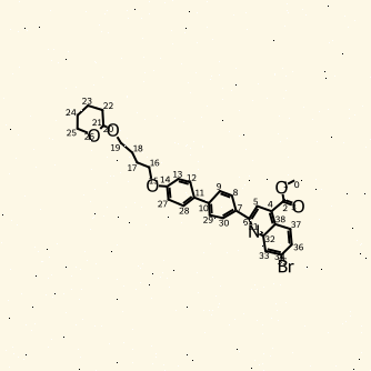 COC(=O)c1cc(-c2ccc(-c3ccc(OCCCCOC4CCCCO4)cc3)cc2)nc2cc(Br)ccc12